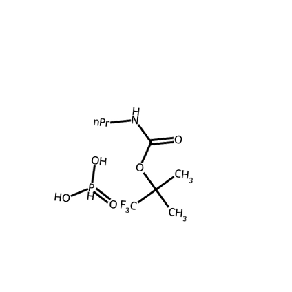 CCCNC(=O)OC(C)(C)C(F)(F)F.O=[PH](O)O